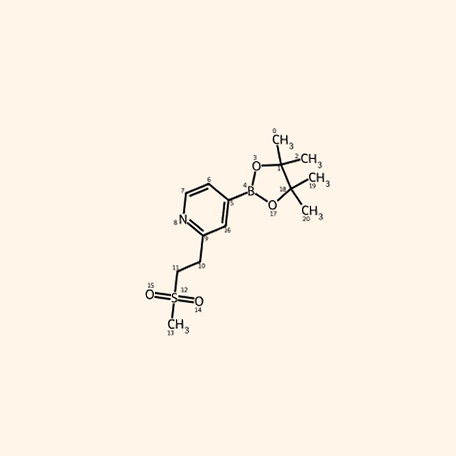 CC1(C)OB(c2ccnc(CCS(C)(=O)=O)c2)OC1(C)C